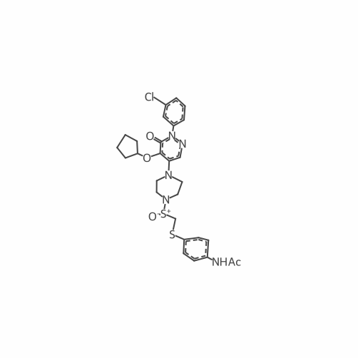 CC(=O)Nc1ccc(SC[S+]([O-])N2CCN(c3cnn(-c4cccc(Cl)c4)c(=O)c3OC3CCCC3)CC2)cc1